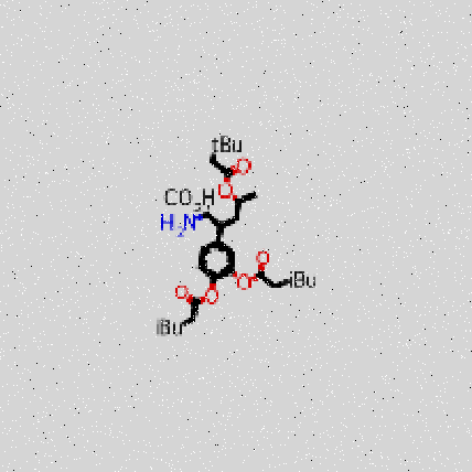 CCC(C)CC(=O)Oc1ccc(C(CC(C)OC(=O)CC(C)(C)C)[C@H](N)C(=O)O)cc1OC(=O)CC(C)CC